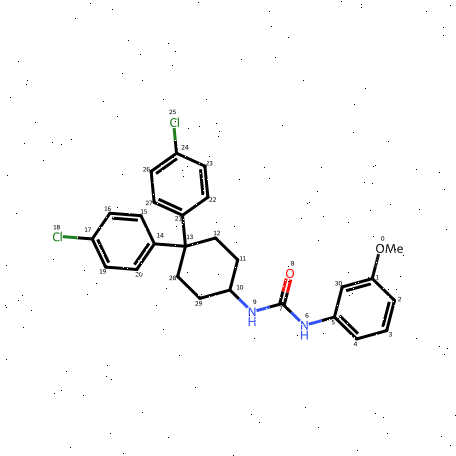 COc1cccc(NC(=O)NC2CCC(c3ccc(Cl)cc3)(c3ccc(Cl)cc3)CC2)c1